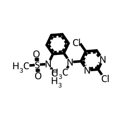 CN(c1ccccc1N(C)S(C)(=O)=O)c1nc(Cl)ncc1Cl